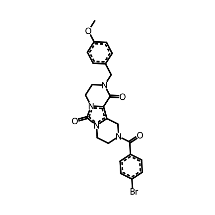 COc1ccc(CN2CCn3c(c4n(c3=O)CCN(C(=O)c3ccc(Br)cc3)C4)C2=O)cc1